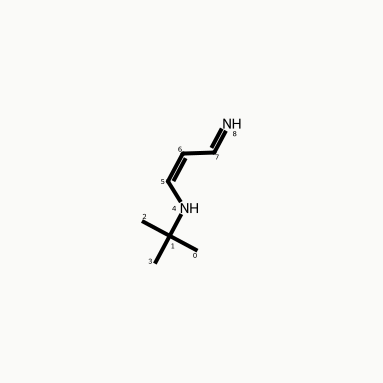 CC(C)(C)N/C=C\C=N